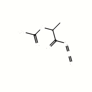 CCCC(=O)OC(C)C(=O)N=C=O